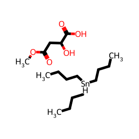 CCC[CH2][SnH]([CH2]CCC)[CH2]CCC.COC(=O)CC(O)C(=O)O